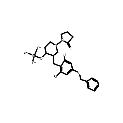 CC(C)[Si](OC1CCN(N2CCCC2=O)CC1Cc1c(Cl)cc(OCc2ccccc2)cc1Cl)(C(C)C)C(C)C